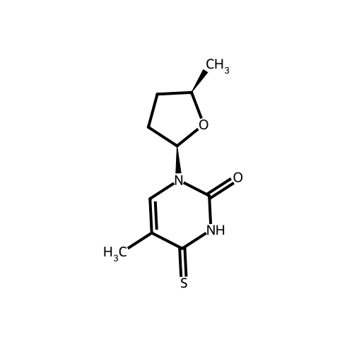 Cc1cn([C@H]2CC[C@@H](C)O2)c(=O)[nH]c1=S